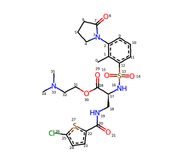 Cc1c(N2CCCC2=O)cccc1S(=O)(=O)N[C@@H](CNC(=O)c1ccc(Cl)s1)C(=O)OCCN(C)C